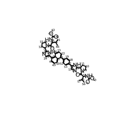 COC(=O)NC(C(=O)N1CCCC1c1ncc(-c2ccc(-c3cccc4c(-c5cnc(C6CCCN6C(=O)C(NC(=O)OC)C(C)C)[nH]5)cccc34)cc2)[nH]1)C(C)C